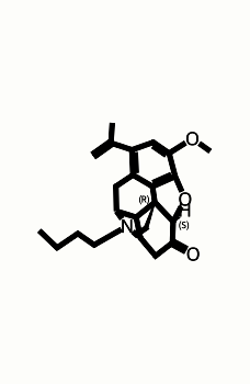 C=C(C)c1cc(OC)c2c3c1CC1C4CCC(=O)[C@@H](O2)[C@@]34CCN1CCCC